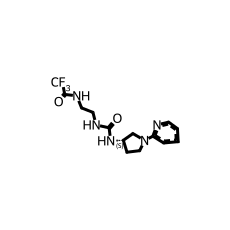 O=C(NCCNC(=O)C(F)(F)F)N[C@H]1CCN(c2ccccn2)C1